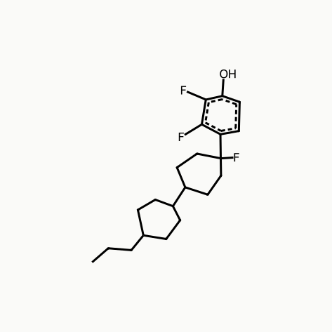 CCCC1CCC(C2CCC(F)(c3ccc(O)c(F)c3F)CC2)CC1